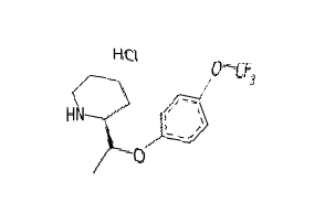 CC(Oc1ccc(OC(F)(F)F)cc1)[C@@H]1CCCCN1.Cl